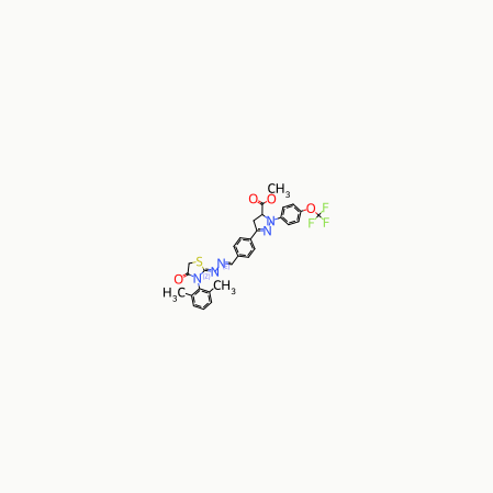 COC(=O)C1CC(c2ccc(/C=N/N=C3\SCC(=O)N3c3c(C)cccc3C)cc2)=NN1c1ccc(OC(F)(F)F)cc1